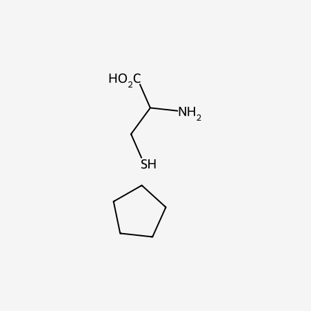 C1CCCC1.NC(CS)C(=O)O